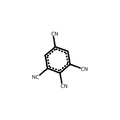 N#Cc1cc(C#N)c(C#N)c(C#N)c1